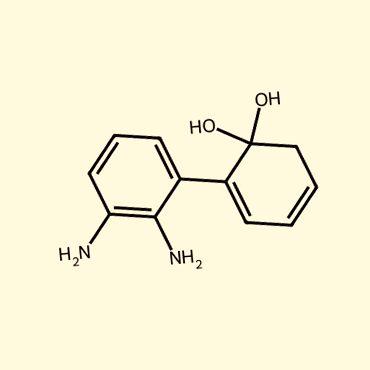 Nc1cccc(C2=CC=CCC2(O)O)c1N